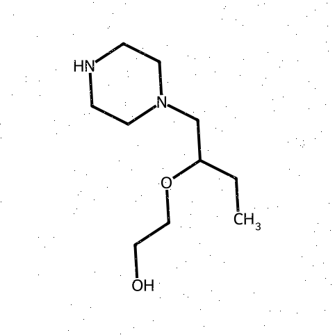 CCC(CN1CCNCC1)OCCO